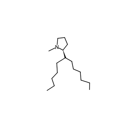 CCCCCCC(CCCCC)[C@@H]1CCCN1C